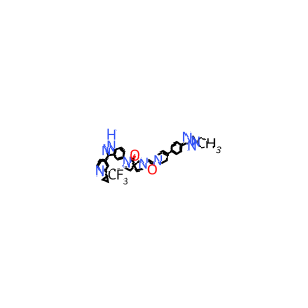 Cn1cnc(-c2ccc(C3=CCN(C(=O)CN4CCC5(CCN(c6ccc7[nH]nc(-c8ccnc(C9(C(F)(F)F)CC9)c8)c7c6)C5=O)C4)CC3)cc2)n1